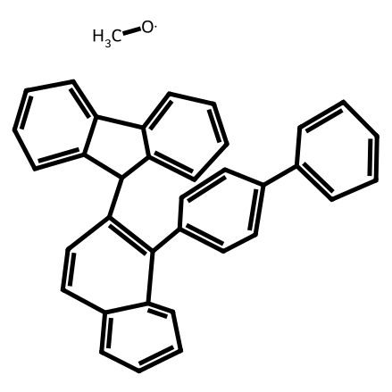 C[O].c1ccc(-c2ccc(-c3c(C4c5ccccc5-c5ccccc54)ccc4ccccc34)cc2)cc1